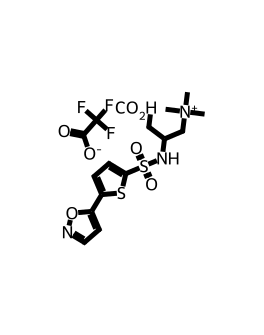 C[N+](C)(C)CC(CC(=O)O)NS(=O)(=O)c1ccc(-c2ccno2)s1.O=C([O-])C(F)(F)F